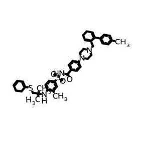 Cc1ccc(C2=CCCC=C2CN2CCN(c3ccc(C(=O)NS(=O)(=O)c4ccc(NC(C)(C)CSC5=CC=CCC5)c(C)c4)cc3)CC2)cc1